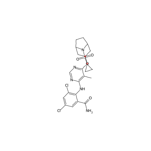 Cc1c(Nc2c(Cl)cc(Cl)cc2C(N)=O)ncnc1OC1CC2CCC(C1)N2S(=O)(=O)C1CC1